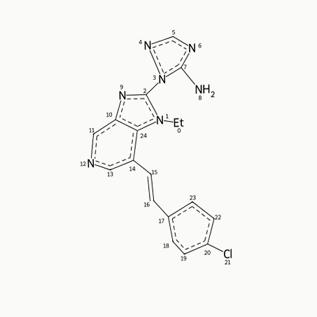 CCn1c(-n2ncnc2N)nc2cncc(/C=C/c3ccc(Cl)cc3)c21